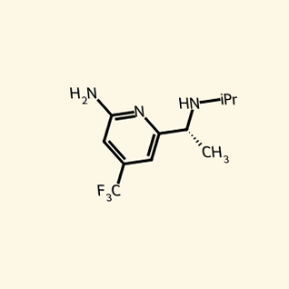 CC(C)N[C@H](C)c1cc(C(F)(F)F)cc(N)n1